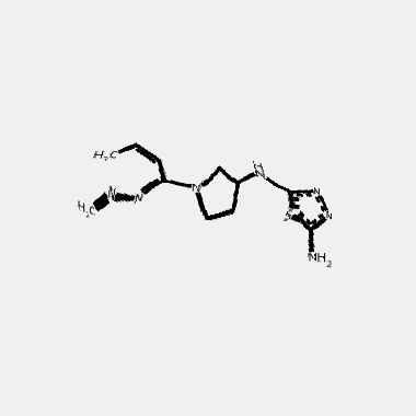 C=N/N=C(\C=C/C)N1CCC(Nc2nnc(N)s2)C1